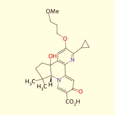 COCCCOc1cc2c(nc1C1CC1)-c1cc(=O)c(C(=O)O)cn1[C@@H]1C(C)(C)CCC21O